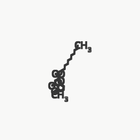 CCCCCCCCCCCOC(=O)c1cc(=O)c2c(OC)cccc2o1